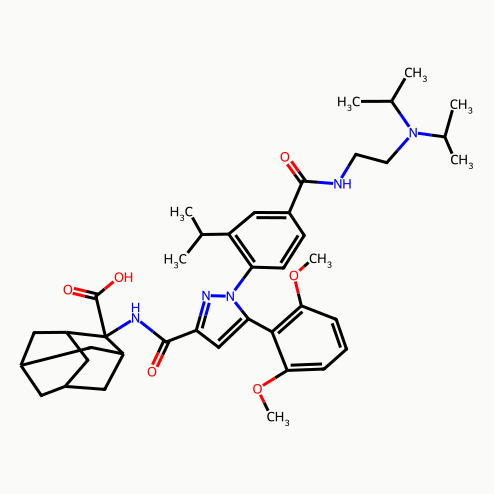 COc1cccc(OC)c1-c1cc(C(=O)NC2(C(=O)O)C3CC4CC(C3)CC2C4)nn1-c1ccc(C(=O)NCCN(C(C)C)C(C)C)cc1C(C)C